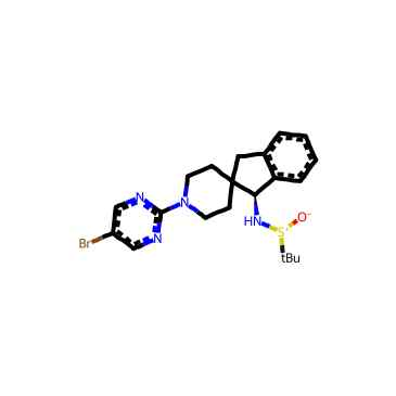 CC(C)(C)[S+]([O-])N[C@@H]1c2ccccc2CC12CCN(c1ncc(Br)cn1)CC2